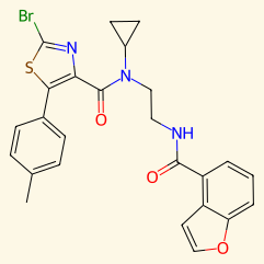 Cc1ccc(-c2sc(Br)nc2C(=O)N(CCNC(=O)c2cccc3occc23)C2CC2)cc1